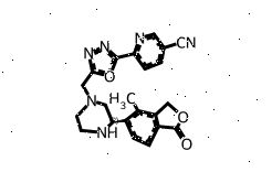 Cc1c([C@@H]2CN(Cc3nnc(-c4ccc(C#N)cn4)o3)CCN2)ccc2c1COC2=O